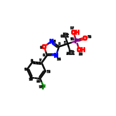 CCC(CC)(c1noc(-c2cccc(F)c2)n1)P(=O)(O)O